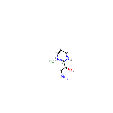 Cl.NCC(=O)c1ncccn1